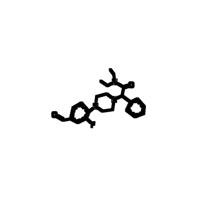 CCN(CC)C(=O)C(c1ccccc1)N1CCN(c2ccc(C=O)cc2F)CC1